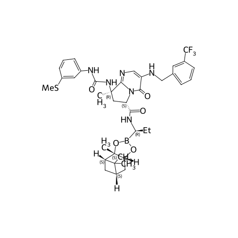 CC[C@H](NC(=O)[C@@H]1C[C@@](C)(NC(=O)Nc2cccc(SC)c2)c2ncc(NCc3cccc(C(F)(F)F)c3)c(=O)n21)B1O[C@@H]2C[C@@H]3C[C@@H](C3(C)C)[C@]2(C)O1